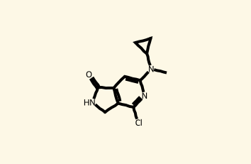 CN(c1cc2c(c(Cl)n1)CNC2=O)C1CC1